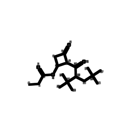 CCC(=O)OC1CC(=O)N1C(=O)C(CC(C)(C)C)C(C)(C)C